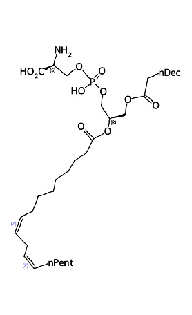 CCCCC/C=C\C/C=C\CCCCCCCC(=O)O[C@H](COC(=O)CCCCCCCCCCC)COP(=O)(O)OC[C@H](N)C(=O)O